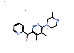 Cc1c(C(=O)c2ccccn2)nnc(N2CCNC(C)C2)c1C